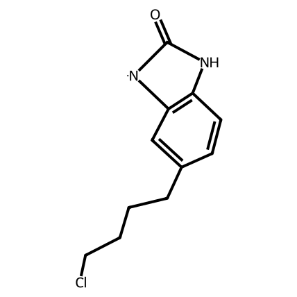 O=C1[N]c2cc(CCCCCl)ccc2N1